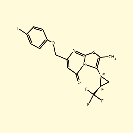 Cc1sc2nc(COc3ccc(F)cc3)cc(=O)n2c1[C@@H]1C[C@H]1C(F)(F)F